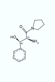 N[C@H](C(=O)N1CCCC1)[C@H](O)c1ccccc1